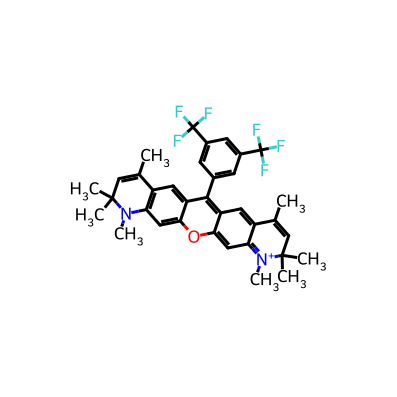 CC1=CC(C)(C)N(C)c2cc3c(cc21)C(c1cc(C(F)(F)F)cc(C(F)(F)F)c1)=c1cc2c(cc1O3)=[N+](C)C(C)(C)C=C2C